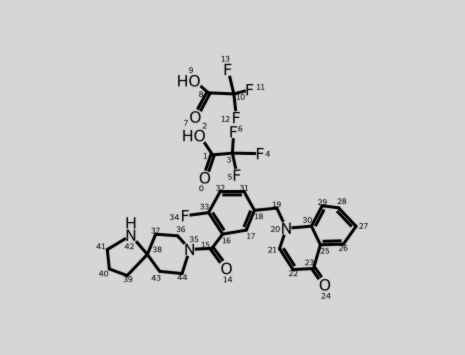 O=C(O)C(F)(F)F.O=C(O)C(F)(F)F.O=C(c1cc(Cn2ccc(=O)c3ccccc32)ccc1F)N1CCC2(CCCN2)CC1